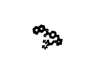 CN(C)CCn1nnnc1SC1CCN(C(=O)Oc2ccc3cccnc3c2)CC1